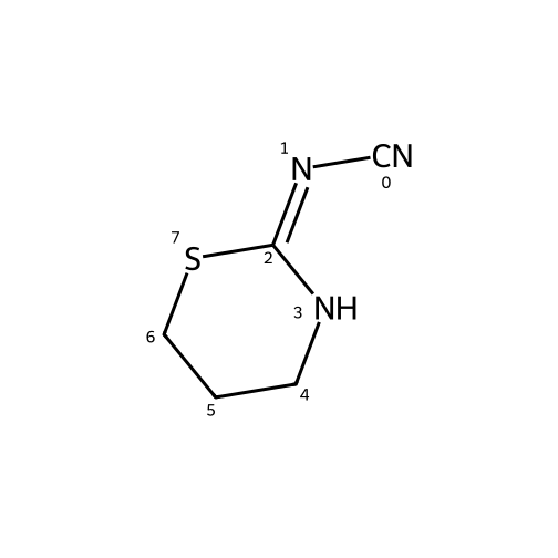 N#CN=C1NCCCS1